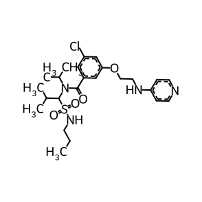 CCCNS(=O)(=O)C(C(C)C)N(C(=O)c1cc(Cl)cc(OCCNc2ccncc2)c1)C(C)C